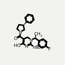 CCCCC1=NC(O)=C(C(=O)N2CC[C@@H](c3ccccc3)C2)CN1[C@@H](C)c1ccc(F)cc1